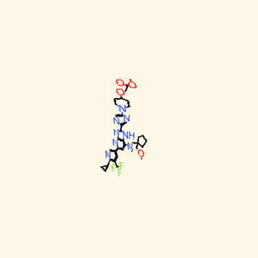 COCC1(CN(C)c2cc(-c3cnc(C4CC4)c(C(F)(F)F)c3)nc3nc(-c4cnc(N5CCC(OCC(=O)OC)CC5)cn4)[nH]c23)CCCC1